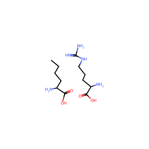 CCCCC(N)C(=O)O.N=C(N)NCCCC(N)C(=O)O